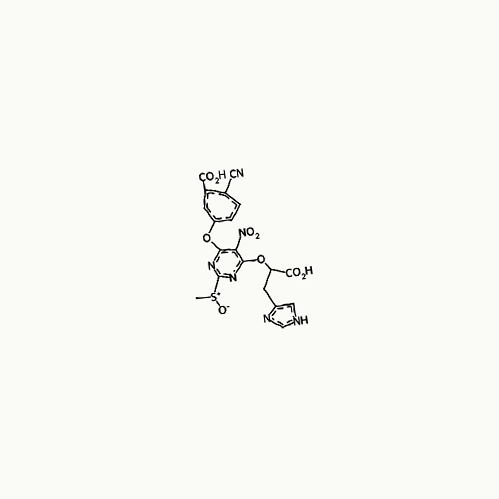 C[S+]([O-])c1nc(Oc2ccc(C#N)c(C(=O)O)c2)c([N+](=O)[O-])c(OC(Cc2c[nH]cn2)C(=O)O)n1